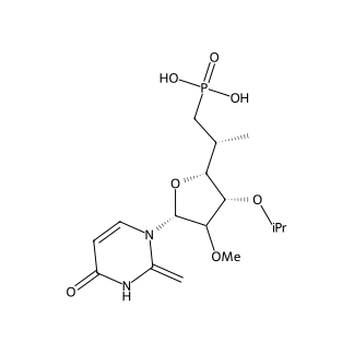 C=C1NC(=O)C=CN1[C@@H]1O[C@H]([C@@H](C)CP(=O)(O)O)[C@H](OC(C)C)C1OC